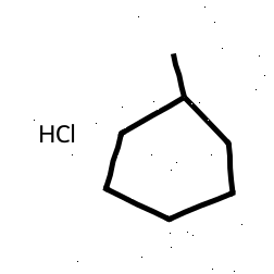 CC1CCCCC1.Cl